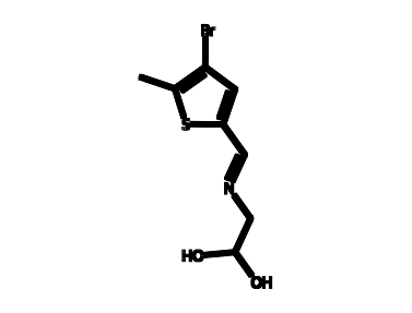 Cc1sc(/C=N/CC(O)O)cc1Br